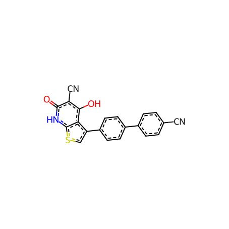 N#Cc1ccc(-c2ccc(-c3csc4[nH]c(=O)c(C#N)c(O)c34)cc2)cc1